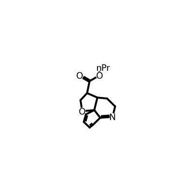 CCCOC(=O)C1COC23C=CC=CC2=NCCC13